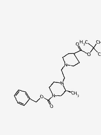 C[C@H]1CN(C(=O)OCc2ccccc2)CCN1CCN1CCC(C(=O)OC(C)(C)C)CC1